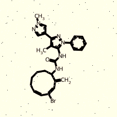 C=C1/C=C(Br)\C=C/CCCCC1NC(=O)Nc1c(C)c(-c2cnn(C)c2)nn1-c1ccccc1